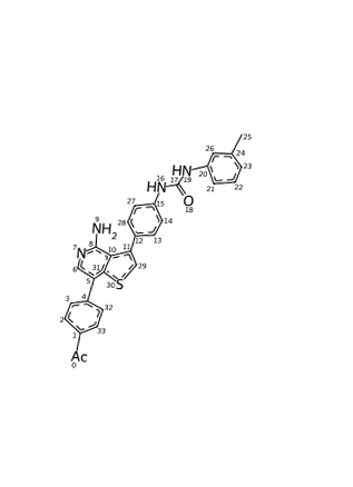 CC(=O)c1ccc(-c2cnc(N)c3c(-c4ccc(NC(=O)Nc5cccc(C)c5)cc4)csc23)cc1